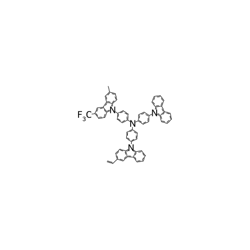 C=Cc1ccc2c(c1)c1ccccc1n2-c1ccc(N(c2ccc(-n3c4ccccc4c4ccccc43)cc2)c2ccc(-n3c4ccc(C)cc4c4cc(C(F)(F)F)ccc43)cc2)cc1